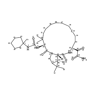 CC1(NC(=O)N[C@@H]2C(=O)N3CC4[C@@H]([C@H]3C(=O)N[C@H](C(=O)C(N)=O)CCCCCCCCCC2(C)C)C4(C)C)CCCCC1